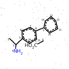 CC(=O)O.CC(N)c1ccc(-c2ccccc2)cc1